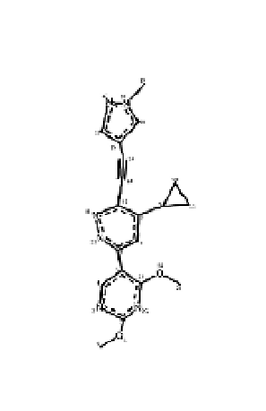 COc1ncc(-c2cc(C3CC3)c(C#Cc3cnn(C)c3)nn2)c(OC)n1